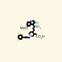 COc1ccc2ncc(Cl)c(C(N)CCC3CCN(CC#Cc4cc(F)cc(F)c4)CC3CC(=O)O)c2c1